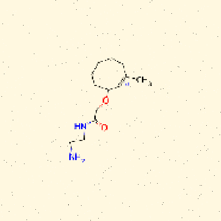 C/C1=C/C(OCC(=O)NCCN)CCCCC1